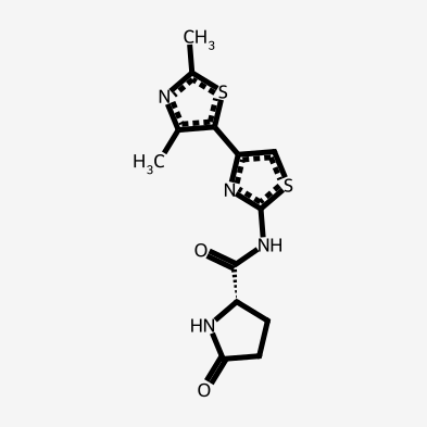 Cc1nc(C)c(-c2csc(NC(=O)[C@@H]3CCC(=O)N3)n2)s1